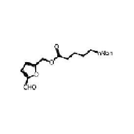 CCCCCCCCCCCCCC(=O)OCc1ccc(C=O)o1